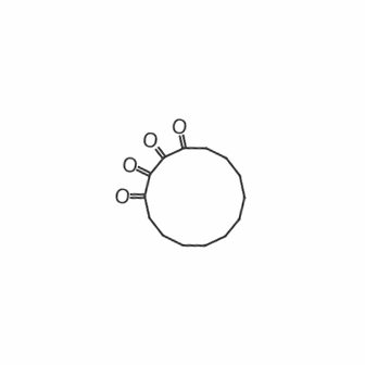 O=C1CCCCCCCCCCC(=O)C(=O)C1=O